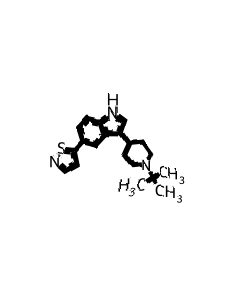 CC(C)(C)N1CCC(c2c[nH]c3ccc(-c4ccns4)cc23)CC1